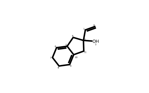 C=CC1(O)CC2=CCCC=C2C1